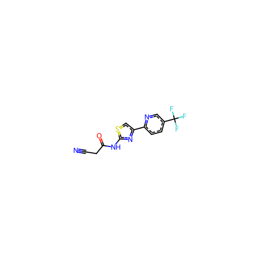 N#CCC(=O)Nc1nc(-c2ccc(C(F)(F)F)cn2)cs1